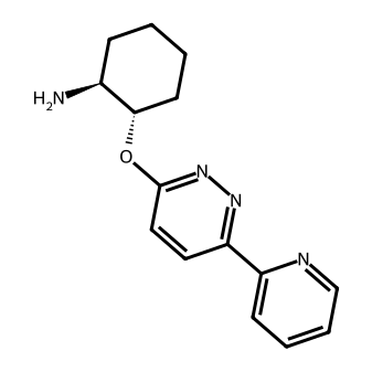 N[C@H]1CCCC[C@@H]1Oc1ccc(-c2ccccn2)nn1